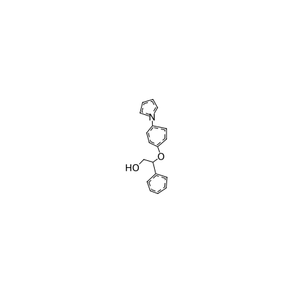 OCC(Oc1ccc(-n2cccc2)cc1)c1ccccc1